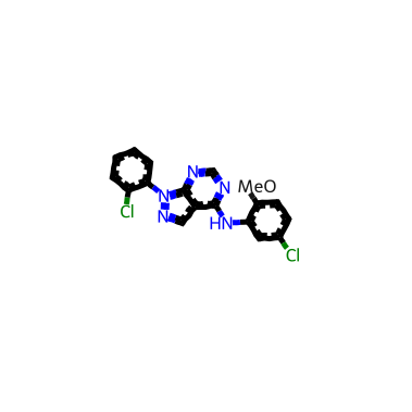 COc1ccc(Cl)cc1Nc1ncnc2c1cnn2-c1ccccc1Cl